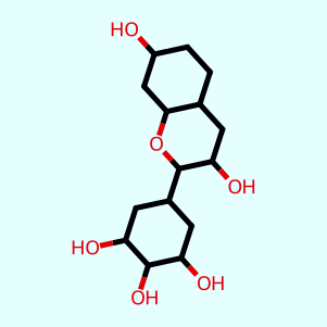 OC1CCC2CC(O)C(C3CC(O)C(O)C(O)C3)OC2C1